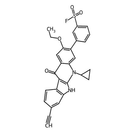 C#Cc1ccc2c(c1)[nH]c1c2c(=O)c2cc(OCC)c(-c3cccc(S(=O)(=O)F)c3)cc2n1C1CC1